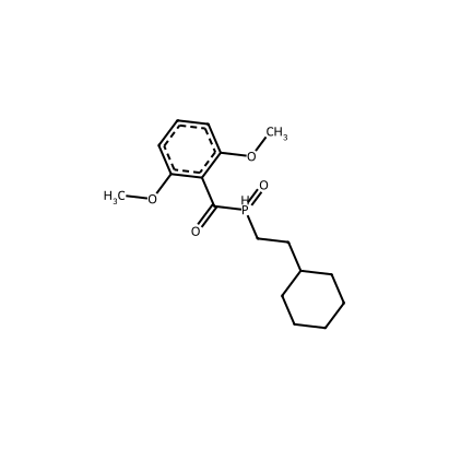 COc1cccc(OC)c1C(=O)[PH](=O)CCC1CCCCC1